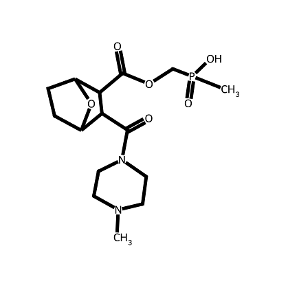 CN1CCN(C(=O)C2C3CCC(O3)C2C(=O)OCP(C)(=O)O)CC1